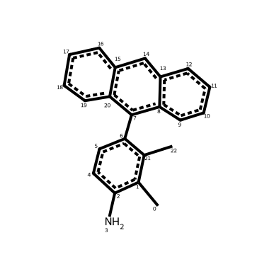 Cc1c(N)ccc(-c2c3ccccc3cc3ccccc23)c1C